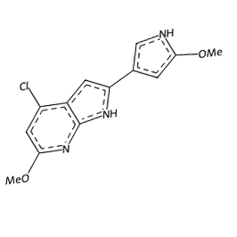 COc1cc(Cl)c2cc(-c3c[nH]c(OC)c3)[nH]c2n1